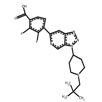 CC(C)(C)CN1CCC(n2nnc3cc(-c4ccc(C(=O)O)c(F)c4F)ncc32)CC1